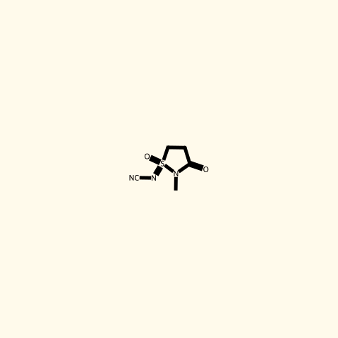 CN1C(=O)CCS1(=O)=NC#N